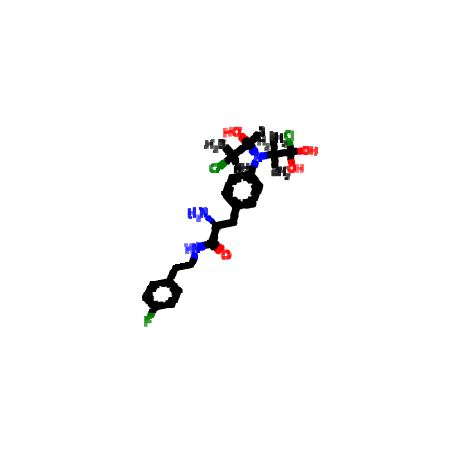 BC(B)(Cl)C(B)(O)N(c1ccc(C[C@H](N)C(=O)NCCc2ccc(F)cc2)cc1)C(B)(B)C(O)(O)Cl